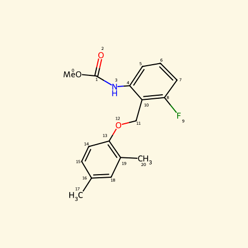 COC(=O)Nc1cccc(F)c1COc1ccc(C)cc1C